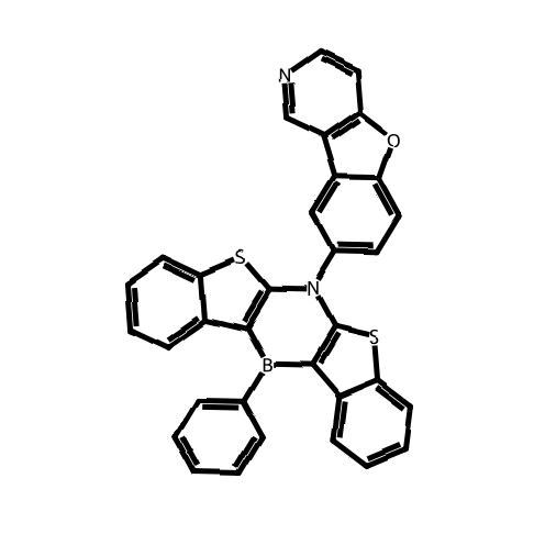 c1ccc(B2c3c(sc4ccccc34)N(c3ccc4oc5ccncc5c4c3)c3sc4ccccc4c32)cc1